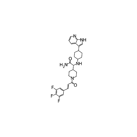 NC(=O)C(NC1CCC(c2c[nH]c3ncccc23)CC1)C1CCN(C(=O)C=Cc2cc(F)c(F)c(F)c2)CC1